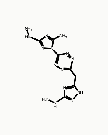 NNc1n[nH]c(Cc2nnc(-n3nc(NN)nc3N)nn2)n1